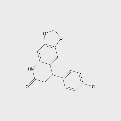 O=C1CC(c2ccc(Cl)cc2)c2cc3c(cc2N1)OCO3